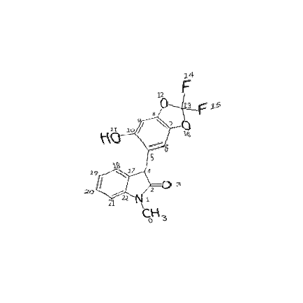 CN1C(=O)C(c2cc3c(cc2O)OC(F)(F)O3)c2ccccc21